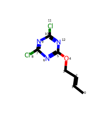 CC=CCOc1nc(Cl)nc(Cl)n1